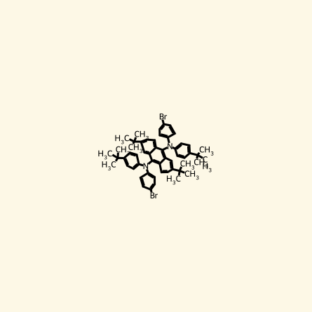 CC(C)(C)c1ccc(N(c2ccc(Br)cc2)c2c3ccc(C(C)(C)C)cc3c(N(c3ccc(Br)cc3)c3ccc(C(C)(C)C)cc3)c3ccc(C(C)(C)C)cc23)cc1